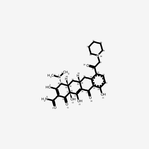 CN(C)[C@H]1C(O)=C(C(N)=O)C(=O)[C@@]2(O)C(O)=C3C(=O)c4c(O)ccc(C(=O)CN5CCCCC5)c4C[C@H]3C[C@@H]12